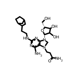 NC(=O)CCN1CN([C@@H]2O[C@H](CO)C(O)C2O)c2nc(NCCC3CC4CCC3C4)nc(N)c21